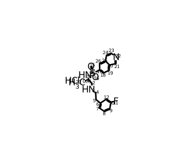 C[C@H](CNCCc1cccc(F)c1)NS(=O)(=O)c1ccc2cnccc2c1.Cl